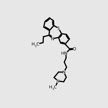 CCCC1=Nc2cc(C(=O)NCCCN3CCN(C)CC3)ccc2Sc2ccccc21